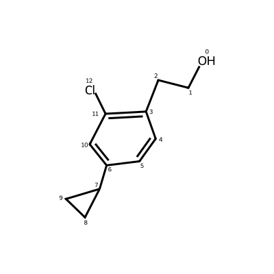 OCCc1ccc(C2CC2)cc1Cl